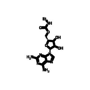 CCNC(=O)OC[C@H]1O[C@@H](n2cnc3c(N)nc(N)nc32)C(O)C1O